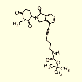 CN1C(=O)CCC(N2Cc3c(C#CCCCNC(=O)OC(C)(C)C)cccc3C2=O)C1=O